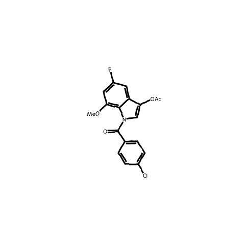 COc1cc(F)cc2c(OC(C)=O)cn(C(=O)c3ccc(Cl)cc3)c12